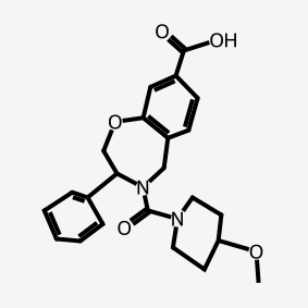 COC1CCN(C(=O)N2Cc3ccc(C(=O)O)cc3OCC2c2ccccc2)CC1